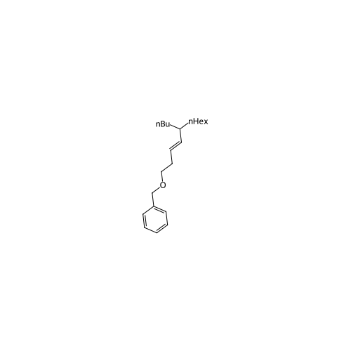 CCCCCCC(C=CCCOCc1ccccc1)CCCC